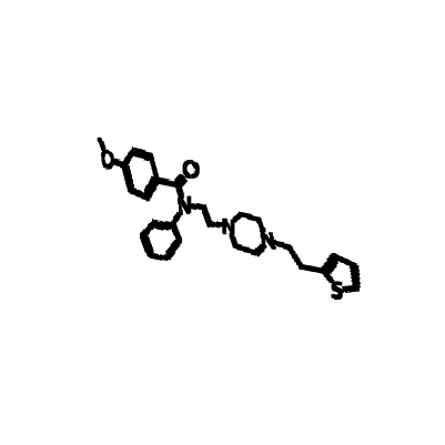 COc1ccc(C(=O)N(CCN2CCN(CCc3cccs3)CC2)c2ccccc2)cc1